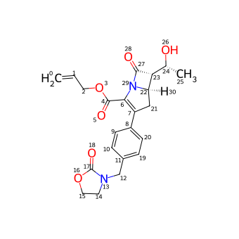 C=CCOC(=O)C1=C(c2ccc(CN3CCOC3=O)cc2)C[C@@H]2[C@@H]([C@@H](C)O)C(=O)N12